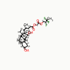 C[C@H](CCC(=O)OCC(=O)OCC(F)C(C)(F)F)[C@H]1CC[C@H]2[C@@H]3CC[C@@H]4C[C@H](O)CC[C@]4(C)[C@H]3C[C@H](O)[C@]12C